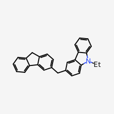 CCn1c2ccccc2c2cc(Cc3ccc4c(c3)-c3ccccc3C4)ccc21